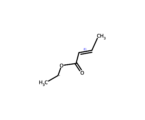 C[CH]OC(=O)/C=C/C